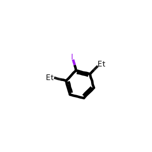 CCc1cccc(CC)c1I